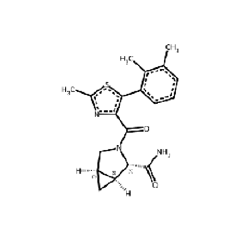 Cc1nc(C(=O)N2C[C@@H]3C[C@@H]3[C@H]2C(N)=O)c(-c2cccc(C)c2C)s1